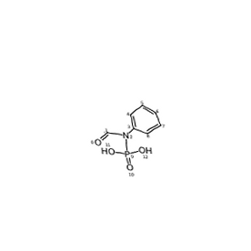 O=[C]N(c1ccccc1)P(=O)(O)O